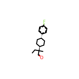 CCC(C)(C=O)[C@H]1CC[C@H](c2ccc(F)cc2)CC1